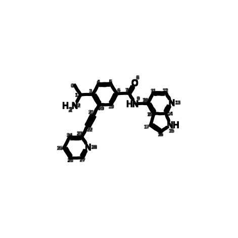 CC(N)c1ccc(C(=O)Nc2ccnc3[nH]ccc23)cc1C#Cc1ccccn1